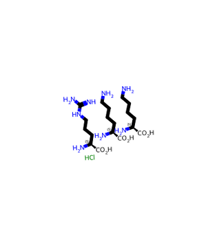 Cl.N=C(N)NCCC[C@H](N)C(=O)O.NCCCC[C@H](N)C(=O)O.NCCCC[C@H](N)C(=O)O